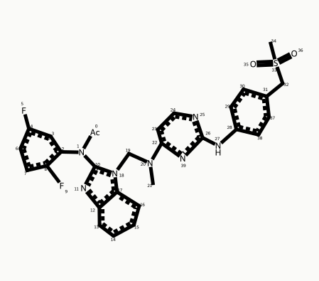 CC(=O)N(c1cc(F)ccc1F)c1nc2ccccc2n1CN(C)c1ccnc(Nc2ccc(CS(C)(=O)=O)cc2)n1